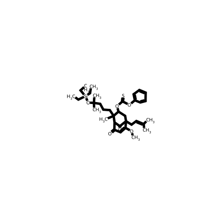 CC[Si](CC)(CC)OC(C)(C)CCCC1(C)C(OC(=S)Oc2ccccc2)CC2(CC=C(C)C)C(=O)C1C(=O)C=C2OC